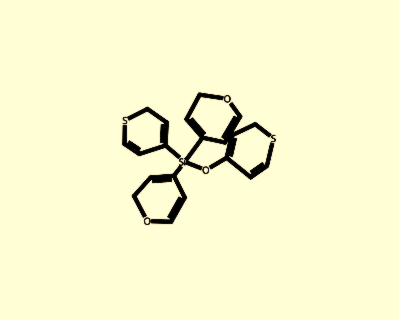 C1=CC([Si](OC2=CCSC=C2)(C2=CCOC=C2)C2=CCSC=C2)=CCO1